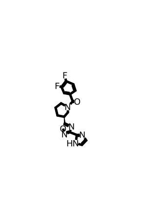 O=C(c1ccc(F)c(F)c1)N1CCC[C@H](c2nc(-c3ncc[nH]3)no2)C1